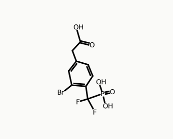 O=C(O)Cc1ccc(C(F)(F)P(=O)(O)O)c(Br)c1